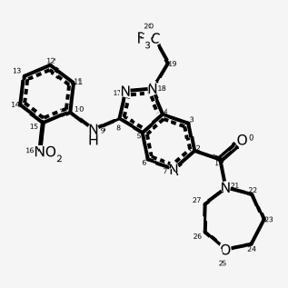 O=C(c1cc2c(cn1)c(Nc1ccccc1[N+](=O)[O-])nn2CC(F)(F)F)N1CCCOCC1